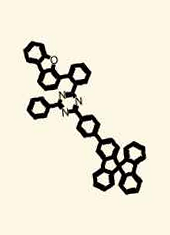 c1ccc(-c2nc(-c3ccc(-c4ccc5c(c4)-c4ccccc4C54c5ccccc5-c5ccccc54)cc3)nc(-c3ccccc3-c3cccc4c3oc3ccccc34)n2)cc1